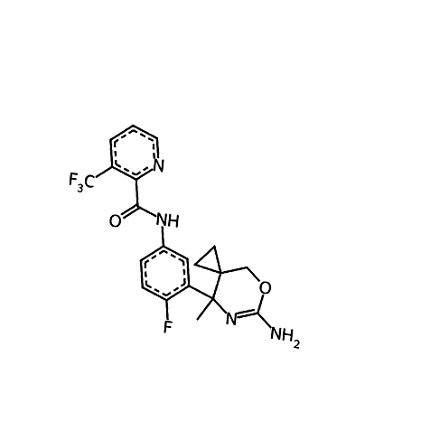 CC1(c2cc(NC(=O)c3ncccc3C(F)(F)F)ccc2F)N=C(N)OCC12CC2